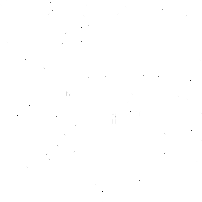 CC1=C2C=C(N)C=CC2NC(O)=C1